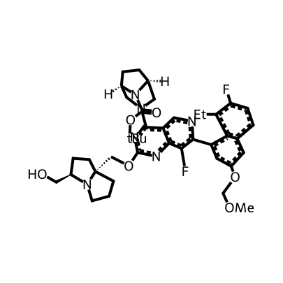 CCc1c(F)ccc2cc(OCOC)cc(-c3ncc4c(N5C[C@H]6CC[C@@H](C5)N6C(=O)OC(C)(C)C)nc(OC[C@]56CCCN5[C@@H](CO)CC6)nc4c3F)c12